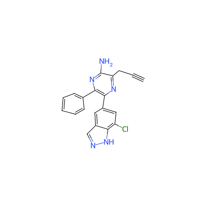 C#CCc1nc(-c2cc(Cl)c3[nH]ncc3c2)c(-c2ccccc2)nc1N